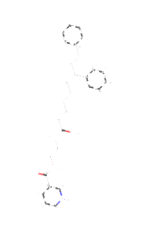 O=C(CCCCCC(CCc1ccccc1)c1ccccc1)OCCOC(=O)c1cccnc1